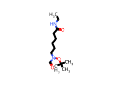 CCNC(=O)CCCCCN(C=O)OC(C)(C)C